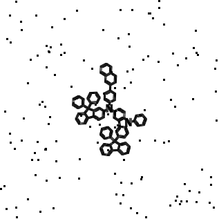 c1ccc(-n2c3ccc(N(c4ccc(-c5ccc6ccccc6c5)cc4)c4ccc5c(c4)C(c4ccccc4)(c4ccccc4)c4ccccc4-5)cc3c3cc(C4(c5ccccc5)c5ccccc5-c5ccccc54)ccc32)cc1